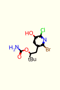 CC(C)(C)C(Cc1cc(O)c(Cl)nc1Br)OC(N)=O